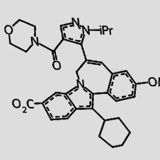 COc1ccc2c(c1)C=C(c1c(C(=O)N3CCOCC3)cnn1C(C)C)Cn1c-2c(C2CCCCC2)c2ccc(C(=O)O)cc21